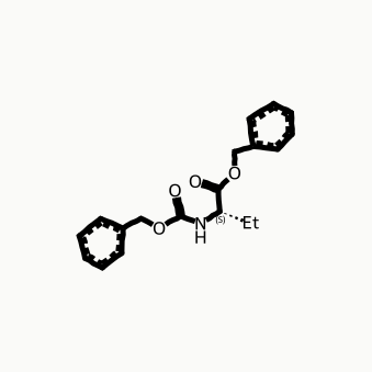 CC[C@H](NC(=O)OCc1ccccc1)C(=O)OCc1ccccc1